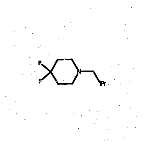 CC(C)CN1CCC(F)(F)CC1